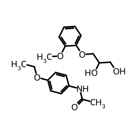 CCOc1ccc(NC(C)=O)cc1.COc1ccccc1OCC(O)CO